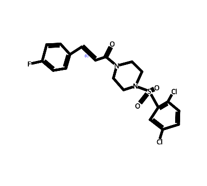 O=C(/C=C/c1ccc(F)cc1)N1CCN(S(=O)(=O)c2cc(Cl)ccc2Cl)CC1